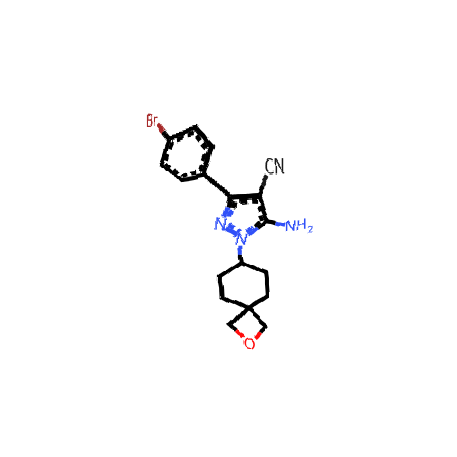 N#Cc1c(-c2ccc(Br)cc2)nn(C2CCC3(CC2)COC3)c1N